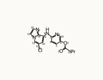 CC(C)C(=O)Oc1ccc(Nc2cc(Cl)cn3ccnc23)nc1